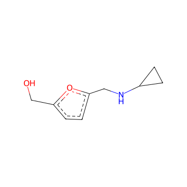 OCc1ccc(CNC2CC2)o1